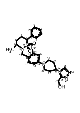 CC1CCC(c2ccccc2)S(=O)(=O)N1Cc1ccc(N2CCC(n3cnnc3CO)CC2)cc1F